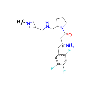 CN1CC(CNCC2CCCN2C(=O)C[C@H](N)Cc2cc(F)c(F)cc2F)C1